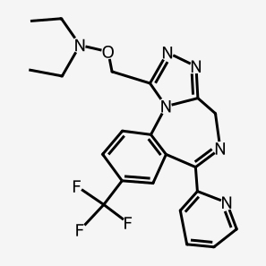 CCN(CC)OCc1nnc2n1-c1ccc(C(F)(F)F)cc1C(c1ccccn1)=NC2